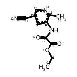 CCOC(=O)C(=O)Nc1cc(C#N)cnc1C